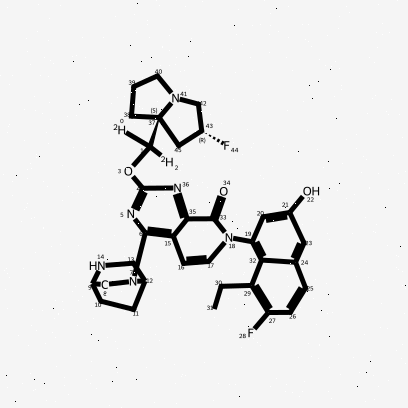 [2H]C([2H])(Oc1nc(N2CC3CCC2CN3)c2ccn(-c3cc(O)cc4ccc(F)c(CC)c34)c(=O)c2n1)[C@@]12CCCN1C[C@H](F)C2